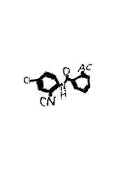 CC(=O)c1ccccc1C(=O)Nc1ccc(Cl)cc1C#N